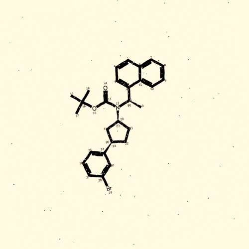 C[C@H](c1cccc2ccccc12)N(C(=O)OC(C)(C)C)[C@H]1CC[C@@H](c2cccc(Br)c2)C1